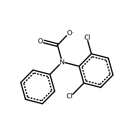 [O]C(=O)N(c1ccccc1)c1c(Cl)cccc1Cl